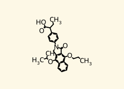 CCCOc1c2c(c(OC(C)C)c3ccccc13)CN(c1ccc(C(CC)C(=O)O)cc1)C2=O